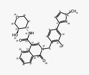 Cn1ccc(-c2ccc(Cn3cc(C(=O)N[C@H]4CCOC[C@@H]4O)c4ncccc4c3=O)c(F)c2)n1